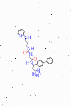 O=C(CNC(=O)NCCCNc1ccccn1)NC(Cc1nnn[nH]1)c1ccc(-c2ccccc2)cc1